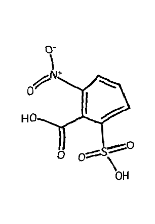 O=C(O)c1c([N+](=O)[O-])cccc1S(=O)(=O)O